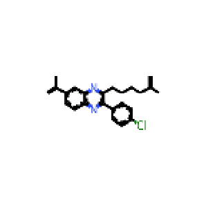 C=C(C)CCCCc1nc2cc(C(=C)C)ccc2nc1-c1ccc(Cl)cc1